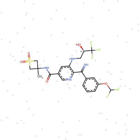 CC1(NC(=O)c2cnc(C(=N)c3cccc(OC(F)F)c3)c(NC[C@@H](O)C(F)(F)F)c2)CS(=O)(=O)C1